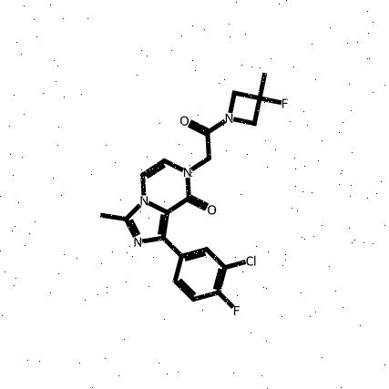 Cc1nc(-c2ccc(F)c(Cl)c2)c2c(=O)n(CC(=O)N3CC(C)(F)C3)ccn12